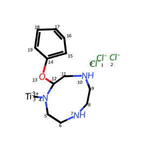 [Cl-].[Cl-].[Cl-].[Ti+3][N]1CCNCCNCC1Oc1ccccc1